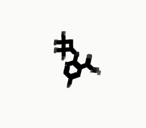 NC(=O)c1cc(F)cnc1OC1CC(F)(F)C1(F)F